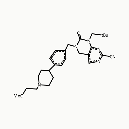 COCCN1CCC(c2ccc(CN3Cc4cnc(C#N)nc4N(CC(C)(C)C)C3=O)cc2)CC1